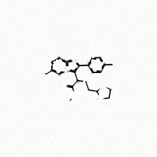 COC(=O)C(CCC1OCCO1)c1c(-c2ccc(C)cc2)nc2ccc(C)cn12